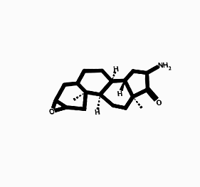 C[C@]12CC3OC3CC1CC[C@@H]1[C@H]2CC[C@]2(C)C(=O)C(N)C[C@@H]12